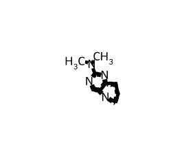 CN(C)c1ncc2ncccc2n1